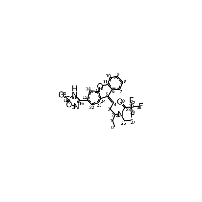 CCC(C/C=C1/c2ccccc2Oc2cc(C3=NOS(=O)N3)ccc21)N(CC)C(=O)C(F)(F)F